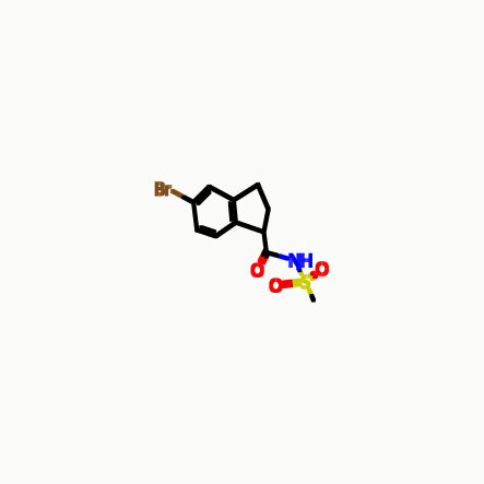 CS(=O)(=O)NC(=O)C1CCc2cc(Br)ccc21